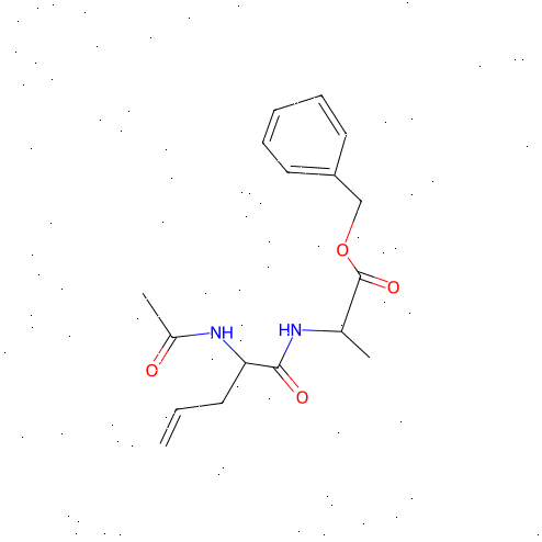 C=CCC(NC(C)=O)C(=O)NC(C)C(=O)OCc1ccccc1